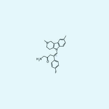 Cc1ccc2c(c1)c1c(n2/C=C(\CC(=O)CN)c2ccc(F)cc2)CCN(C)C1